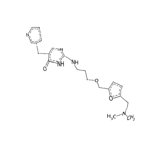 CN(C)Cc1ccc(COCCCNc2ncc(Cc3cccnc3)c(=O)[nH]2)o1